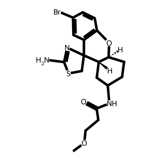 COCCC(=O)NC1CC[C@@H]2Oc3ccc(Br)cc3C3(CSC(N)=N3)[C@H]2C1